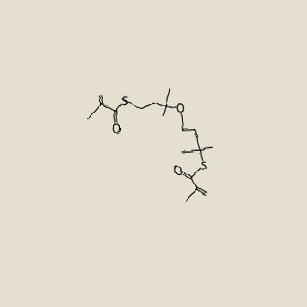 C=C(C)C(=O)SCCC(C)(C)OCCC(C)(C)SC(=O)C(=C)C